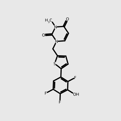 Cn1c(=O)ccn(Cc2ccc(-c3cc(F)c(F)c(O)c3F)s2)c1=O